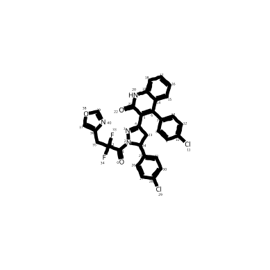 O=C(N1N=C(c2c(-c3ccc(Cl)cc3)c3ccccc3[nH]c2=O)CC1c1ccc(Cl)cc1)C(F)(F)Cc1cocn1